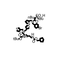 CC(C)(C)OC(=O)N[C@@H](CCCCNC(=O)OCc1ccccc1)C(=O)N(Cc1ccsc1)Cc1ccsc1.CCCC[C@@H](C(=O)N(Cc1ccc(Br)cc1)Cc1cccs1)N(C(=O)O)C(C)(C)C